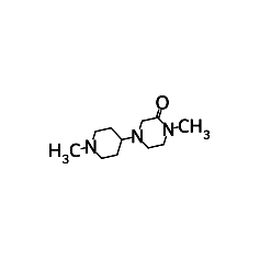 CN1CCC(N2CCN(C)C(=O)C2)CC1